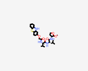 COC1OCC[C@@H]1NC(=O)[C@H](CC(C)C)NC(=O)[C@@H](NC(=O)COc1ccc2c(c1)Nc1ccccc1S2)C(C)C